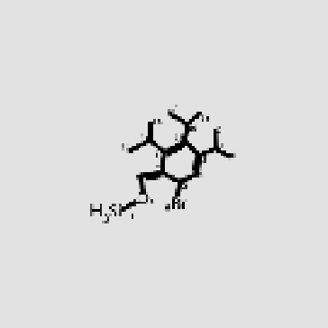 CC(C)C1=CC(Br)C(=CO[SiH3])C(C(C)C)=C1C(C)C